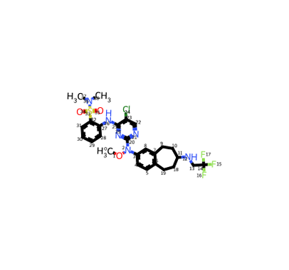 CON(c1ccc2c(c1)CCC(NCC(F)(F)F)CC2)c1ncc(Cl)c(Nc2ccccc2S(=O)(=O)N(C)C)n1